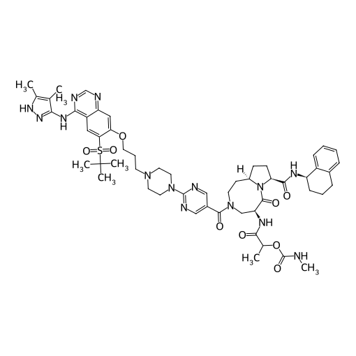 CNC(=O)OC(C)C(=O)N[C@H]1CN(C(=O)c2cnc(N3CCN(CCCOc4cc5ncnc(Nc6n[nH]c(C)c6C)c5cc4S(=O)(=O)C(C)(C)C)CC3)nc2)CC[C@H]2CC[C@@H](C(=O)N[C@@H]3CCCc4ccccc43)N2C1=O